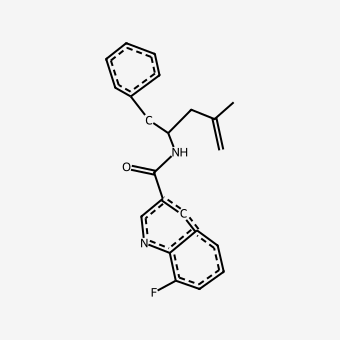 C=C(C)CC(Cc1ccccc1)NC(=O)c1cnc2c(F)cccc2c1